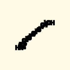 OCCOCCOCCOCCOCCOC1CCNCC1